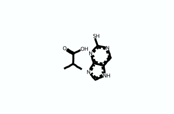 CC(C)C(=O)O.Sc1ncc2[nH]cnc2n1